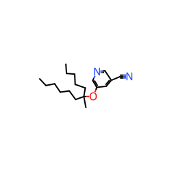 CCCCCCC(C)(CCCCC)Oc1cncc(C#N)c1